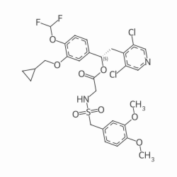 COc1ccc(CS(=O)(=O)NCC(=O)O[C@@H](Cc2c(Cl)cncc2Cl)c2ccc(OC(F)F)c(OCC3CC3)c2)cc1OC